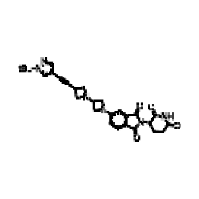 CC(C)(C)n1cc(C#CC2CN(C3CN(c4ccc5c(c4)C(=O)N(C4CCC(=O)NC4=O)C5=O)C3)C2)cn1